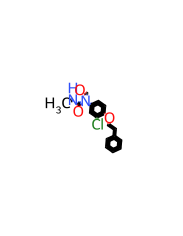 CNC(=O)N(C=O)c1ccc(OCCc2ccccc2)c(Cl)c1